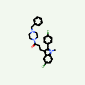 Cn1c(-c2ccc(Cl)cc2)c(CCC(=O)N2CCN(Cc3ccccc3)CC2)c2cc(Cl)ccc21